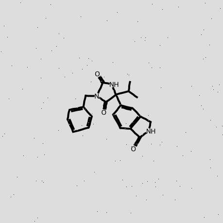 CC(C)C1(c2ccc3c(c2)CNC3=O)NC(=O)N(Cc2ccccc2)C1=O